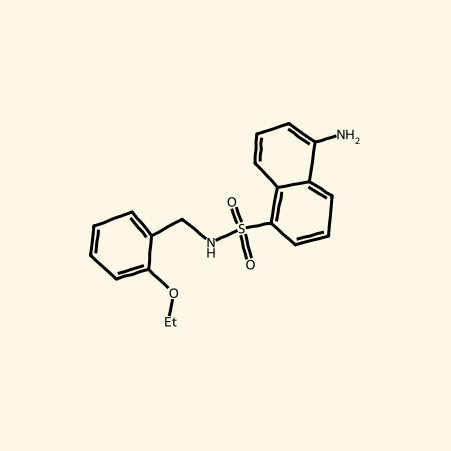 CCOc1ccccc1CNS(=O)(=O)c1cccc2c(N)cccc12